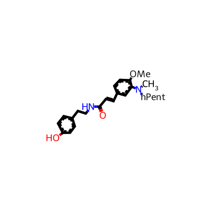 CCCCCN(C)c1cc(/C=C/C(=O)NCCc2ccc(O)cc2)ccc1OC